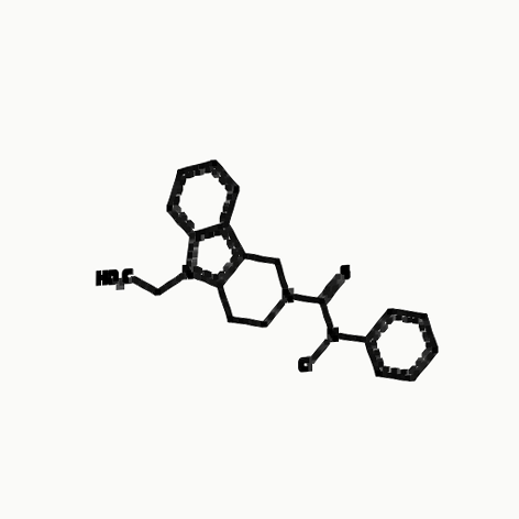 O=C(O)Cn1c2c(c3ccccc31)CN(C(=S)N(Cl)c1ccccc1)CC2